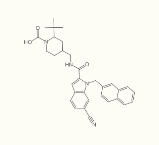 CC(C)(C)C1CC(CNC(=O)c2cc3ccc(C#N)cc3n2Cc2ccc3ccccc3c2)CCN1C(=O)O